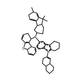 CC1C=C2C(=CC1)C1CC(N(c3ccc4c(c3)c3c(n4C4=CC5CCCCC5CC4)CCCC3)C3CC=CC4=C3C3C=CC=CC3O4)CCC1C2(C)C